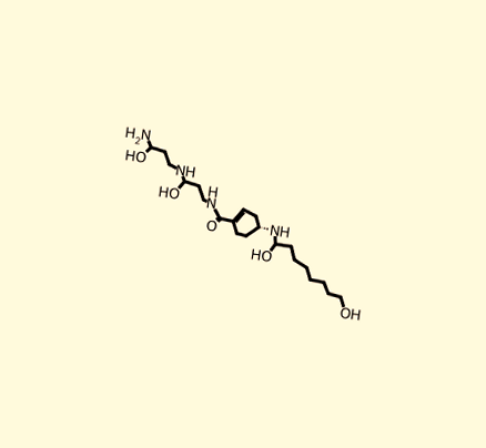 NC(O)CCNC(O)CCNC(=O)C1=CC[C@H](NC(O)CCCCCCCO)CC1